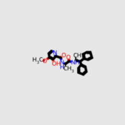 COc1ccnc(C(=O)N[C@@H](C)C(=O)N[C@@H](C)C(c2ccccc2)c2ccccc2)c1O